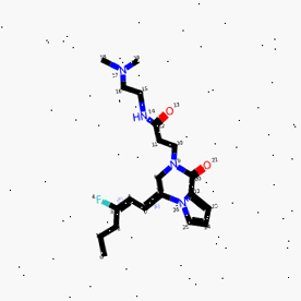 CCC/C(F)=C\C=C1/CN(CCC(=O)NCCN(C)C)C(=O)c2cccn21